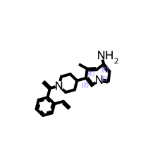 C=Cc1ccccc1C(=C)N1CCC(C2=C/N=C/C=C(N)\C=C\2C)CC1